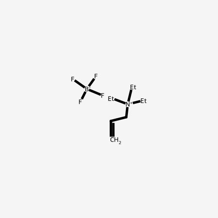 C=CC[N+](CC)(CC)CC.F[B-](F)(F)F